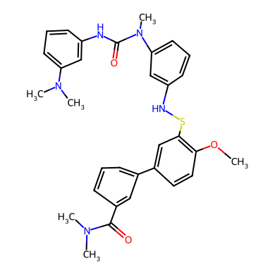 COc1ccc(-c2cccc(C(=O)N(C)C)c2)cc1SNc1cccc(N(C)C(=O)Nc2cccc(N(C)C)c2)c1